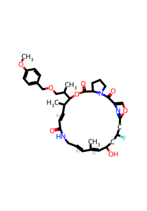 COc1ccc(COCC(C)C2OC(=O)C3CCCN3C(=O)c3coc(n3)CC(F)CC(O)/C=C(C)/C=C/CNC(=O)/C=C/C2C)cc1